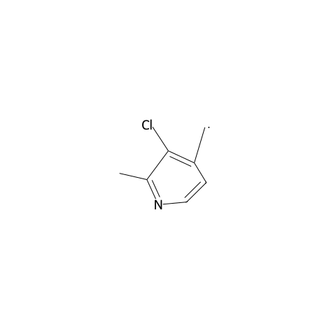 [CH2]c1ccnc(C)c1Cl